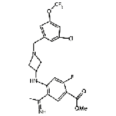 COC(=O)c1cc(C(C)=N)c(NC2CN(Cc3cc(Cl)cc(OC(F)(F)F)c3)C2)cc1F